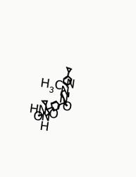 Cc1cc(C2CC2)cnc1N1CCN(C(=O)c2ccc(C3(C4CC4)NC(=O)NC3=O)cc2)CC1